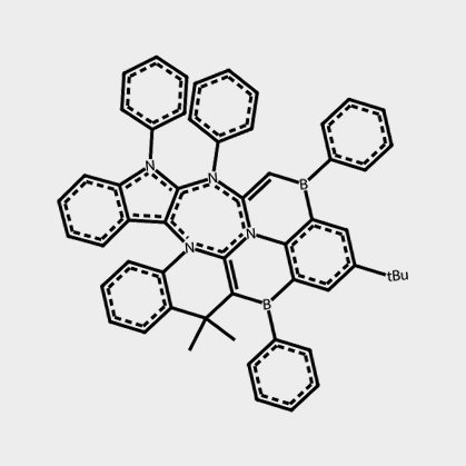 CC(C)(C)c1cc2c3c(c1)B(c1ccccc1)C1=c4n-3c(n(-c3ccccc3)c3c(c5ccccc5n3-c3ccccc3)n4-c3ccccc3C1(C)C)=CB2c1ccccc1